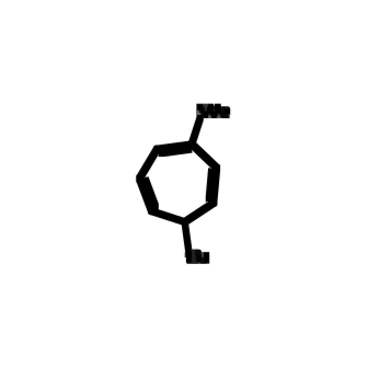 CNC1=CC=CC(C(C)(C)C)C=C1